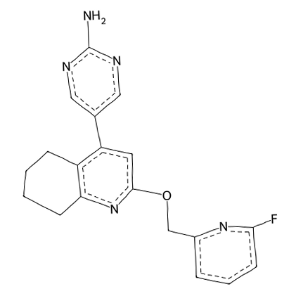 Nc1ncc(-c2cc(OCc3cccc(F)n3)nc3c2CCCC3)cn1